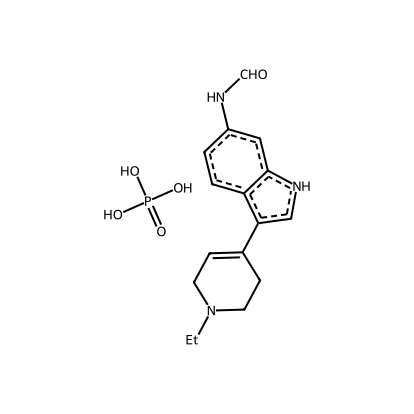 CCN1CC=C(c2c[nH]c3cc(NC=O)ccc23)CC1.O=P(O)(O)O